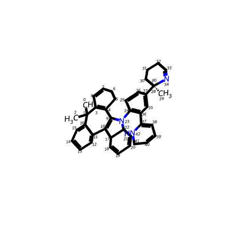 CC1(C)C2=C(CCC=C2)C2=C(c3ccccc31)C1C=CC=CC1N2c1ccc([C@@]2(C)CCCC=N2)cc1C1=CC=CCN1